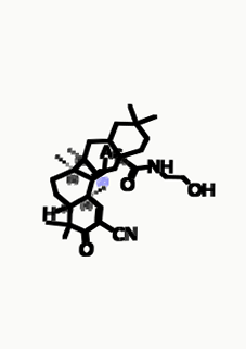 CC(=O)/C=C1/[C@@]2(C)C=C(C#N)C(=O)C(C)(C)[C@@H]2CC[C@@]1(C)[C@]1(C)CC[C@@]2(C(=O)NCCO)CCC(C)(C)CC2C1